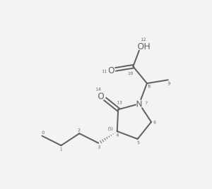 CCCC[C@H]1CCN(C(C)C(=O)O)C1=O